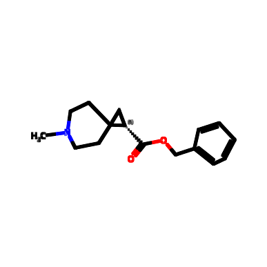 CN1CCC2(CC1)C[C@@H]2C(=O)OCc1ccccc1